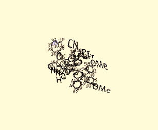 COc1ccc(C(OC[C@H]2O[C@@H](N3C=C4CCON=C4NC3=O)[C@H](OCCOC3CC/C=C/CCC3)[C@@H]2OP(OCCC#N)N(C(C)C)C(C)C)(c2ccccc2)c2ccc(OC)cc2)cc1